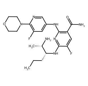 CCC[C@@H](Nc1nc(Nc2cnc(N3CCOCC3)c(F)c2)c(C(N)=O)cc1F)[C@H](C)N